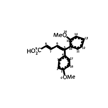 COc1ccc(/C(=C\C=C\C(=O)O)c2ccccc2OC)cc1